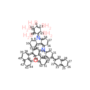 Bc1c(B)c(B)c(-n2c3ccccc3c3c(N(c4ccc(-c5ccc6ccccc6c5)cc4)c4ccc(-c5cccc6ccccc56)c5oc6ccccc6c45)cccc32)c(B)c1B